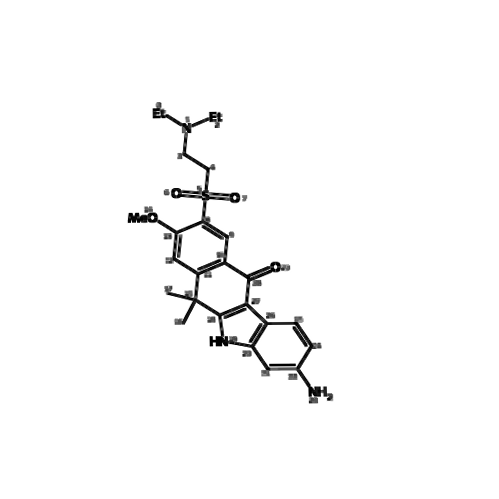 CCN(CC)CCS(=O)(=O)c1cc2c(cc1OC)C(C)(C)c1[nH]c3cc(N)ccc3c1C2=O